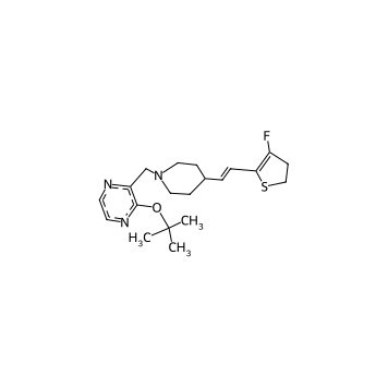 CC(C)(C)Oc1nccnc1CN1CCC(/C=C/C2=C(F)CCS2)CC1